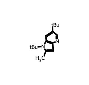 Cc1cc2ncc(C(C)(C)C)cc2n1C(C)(C)C